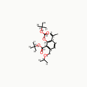 C=C(C)c1ccc(COC(C)C)c(C(=O)OC(C)(C)C)c1OC(=O)OC(C)(C)C